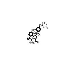 COC(=O)C1CC(S(=O)(=O)c2ccc(O[C@@H](C)C(F)(F)F)cc2Cl)CN1C(=O)C1(c2ccc(Cl)cc2)CC1